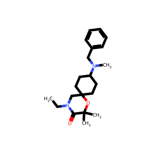 CCN1CC2(CCC(N(C)Cc3ccccc3)CC2)OC(C)(C)C1=O